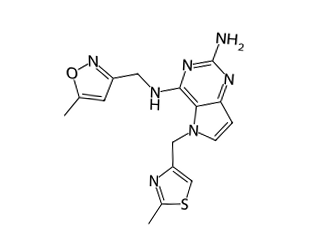 Cc1cc(CNc2nc(N)nc3ccn(Cc4csc(C)n4)c23)no1